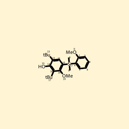 COc1ccccc1[Si](C)(C)c1cc(C(C)(C)C)c(O)c(C(C)(C)C)c1OC